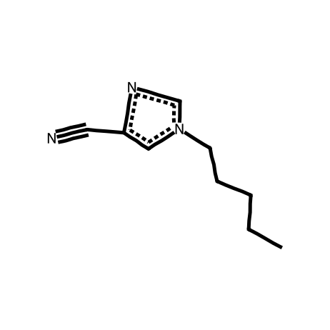 CCCCCn1cnc(C#N)c1